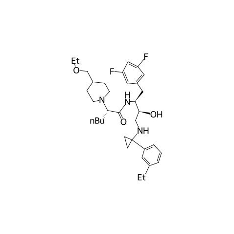 CCCC[C@@H](C(=O)N[C@@H](Cc1cc(F)cc(F)c1)[C@@H](O)CNC1(c2cccc(CC)c2)CC1)N1CCC(COCC)CC1